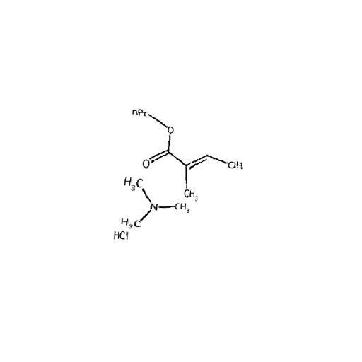 CCCOC(=O)C(C)=CO.CN(C)C.Cl